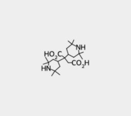 CC1(C)CC(C(CC(=O)O)(C(=O)O)C2CC(C)(C)NC(C)(C)C2)CC(C)(C)N1